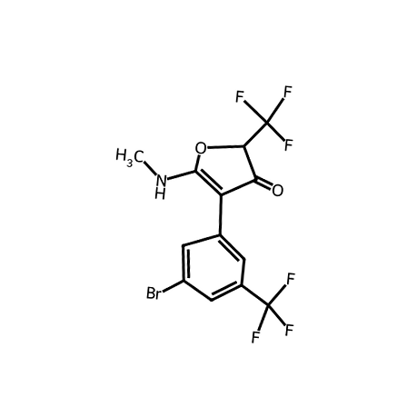 CNC1=C(c2cc(Br)cc(C(F)(F)F)c2)C(=O)C(C(F)(F)F)O1